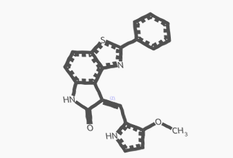 COc1cc[nH]c1/C=C1\C(=O)Nc2ccc3sc(-c4ccccc4)nc3c21